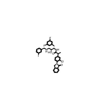 CC(C(=O)N[C@@H](Cc1cc(F)cc(F)c1)[C@@H](O)CNCc1cccc(I)c1)c1ccc(N2Cc3ccccc3C2=O)c(Cl)c1